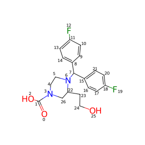 O=C(O)N1CCN(C(c2ccc(F)cc2)c2ccc(F)cc2)C(CCO)C1